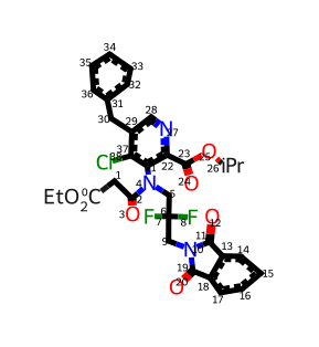 CCOC(=O)CC(=O)N(CC(F)(F)CN1C(=O)c2ccccc2C1=O)c1c(C(=O)OC(C)C)ncc(Cc2ccccc2)c1Cl